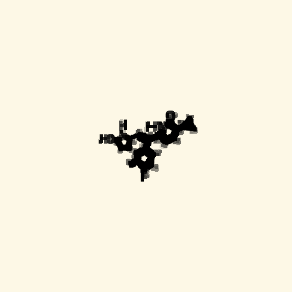 Cc1cc(/C(=C\[C@H]2CCC(O)N2)c2ccc(C3CC3)c(=O)[nH]2)ccc1F